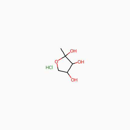 CC1(O)OCC(O)C1O.Cl